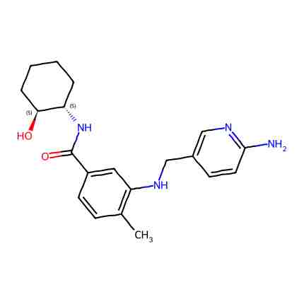 Cc1ccc(C(=O)N[C@H]2CCCC[C@@H]2O)cc1NCc1ccc(N)nc1